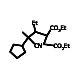 CCOC(=O)CC(C(=O)OCC)C(CC)C(C)(C#N)C1CCCC1